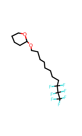 FC(F)(F)C(F)(F)C(F)(F)CCCCCCCCOC1CCCCO1